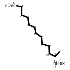 CCCCCCCCCCCCCCCCCCCC[C@H](C)CCCCCC